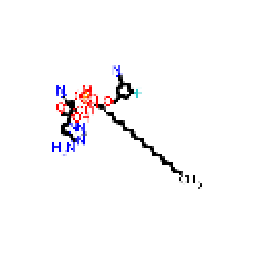 CCCCCCCCCCCCCCCCC[C@H](COP(=O)(O)OC1[C@@]2(C#N)OCC(O)(c3ccc4c(N)ncnn34)[C@@]12O)OCc1cc(F)cc(C#N)c1